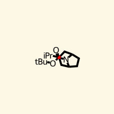 CC(C)C1CC2CCC(C1)N2C(=O)OC(C)(C)C